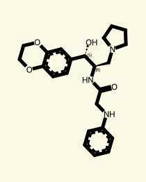 O=C(CNc1ccccc1)N[C@H](CN1CCCC1)[C@@H](O)c1ccc2c(c1)OCCO2